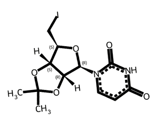 CC1(C)O[C@@H]2[C@H](O1)[C@@H](CI)O[C@H]2n1ccc(=O)[nH]c1=O